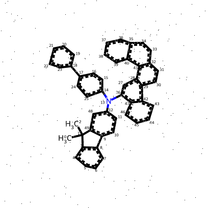 CC1(C)c2ccccc2-c2ccc(N(c3ccc(-c4ccccc4)cc3)c3cc4c(ccc5ccc6ccccc6c54)c4ccccc34)cc21